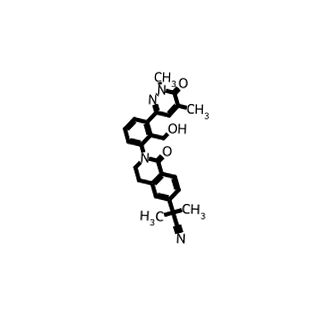 Cc1cc(-c2cccc(N3CCc4cc(C(C)(C)C#N)ccc4C3=O)c2CO)nn(C)c1=O